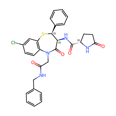 O=C(CN1C(=O)[C@H](NC(=O)[C@@H]2CCC(=O)N2)[C@H](c2ccccc2)Sc2cc(Cl)ccc21)NCc1ccccc1